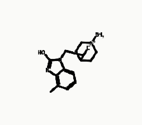 B[N+]12CCC(CC1)C(Cn1c(O)nc3c(C)cccc31)C2